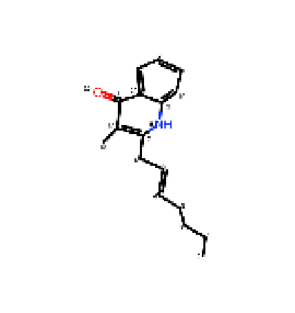 CCCCC=CCc1[nH]c2ccccc2c(=O)c1C